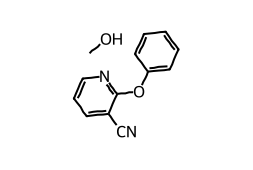 CO.N#Cc1cccnc1Oc1ccccc1